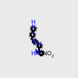 O=[N+]([O-])c1ccc2[nH]nc(-c3ccnc(N4CCN(CC5CCN(C6CCNCC6)CC5)CC4)c3)c2c1